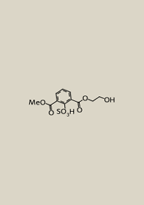 COC(=O)c1cccc(C(=O)OCCO)c1S(=O)(=O)O